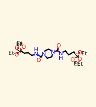 CCO[Si](CCCNC(=O)N1CCN(C(=O)NCCC[Si](OCC)(OCC)OCC)CC1)(OCC)OCC